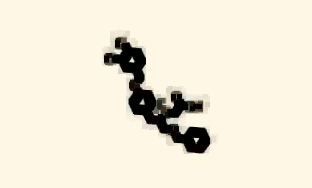 CN(CC(=O)O)C(COCc1ccccc1)Cc1ccc(OCc2ccc(Cl)c(Cl)c2)cc1